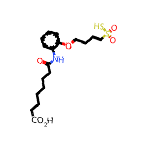 O=C(O)CCCCCCC(=O)Nc1ccccc1OCCCCS(=O)(=O)S